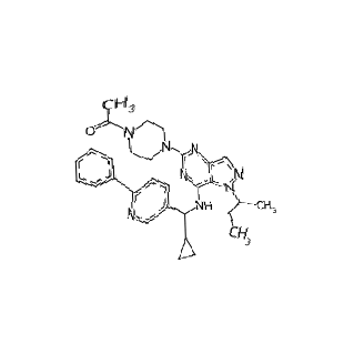 CCC(C)n1ncc2nc(N3CCN(C(C)=O)CC3)nc(NC(c3ccc(-c4ccccc4)nc3)C3CC3)c21